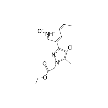 C\C=C/C=C(\C=[NH+]\[O-])c1nn(CC(=O)OCC)c(C)c1Cl